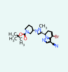 CN1[C@@H](C2CC=C(Br)c3c(C#N)cnn32)CN1[C@H]1CCCN(C(=O)OC(C)(C)C)C1